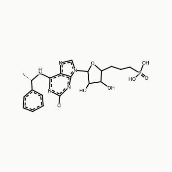 C[C@H](Nc1nc(Cl)nc2c1ncn2C1OC(CCCP(=O)(O)O)C(O)C1O)c1ccccc1